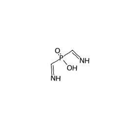 N=CP(=O)(O)C=N